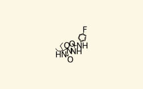 CCC1(CC)NC(=O)N(NC(=O)Nc2ccc(F)cc2)C1=O